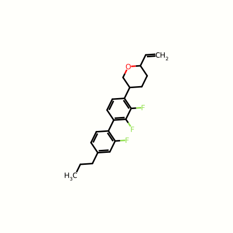 C=CC1CCC(c2ccc(-c3ccc(CCC)cc3F)c(F)c2F)CO1